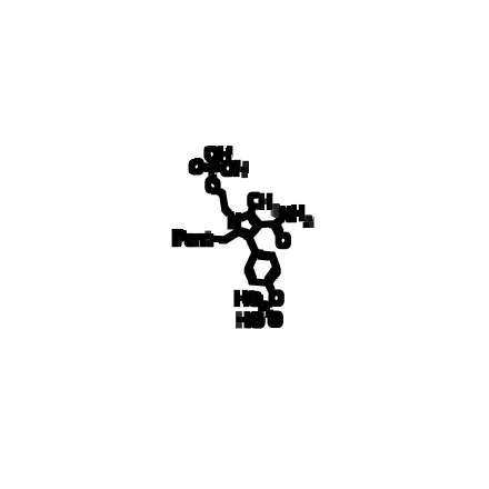 CCCC(C)Cc1c(-c2ccc(OP(=O)(O)O)cc2)c(C(N)=O)c(C)n1CCOP(=O)(O)O